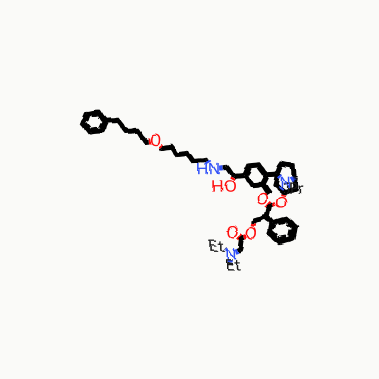 C=C1CC(C(O)CNCCCCCCOCCCCc2ccccc2)=CC=C1C12CCC(CC(OC(=O)C(COC(=O)CN(CC)CC)c3ccccc3)C1)[N+]2(C)C(C)C